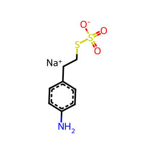 Nc1ccc(CCSS(=O)(=O)[O-])cc1.[Na+]